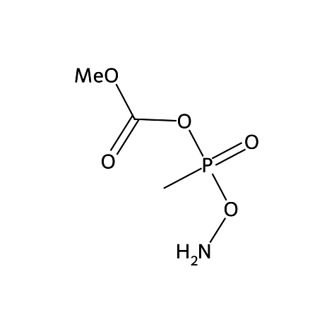 COC(=O)OP(C)(=O)ON